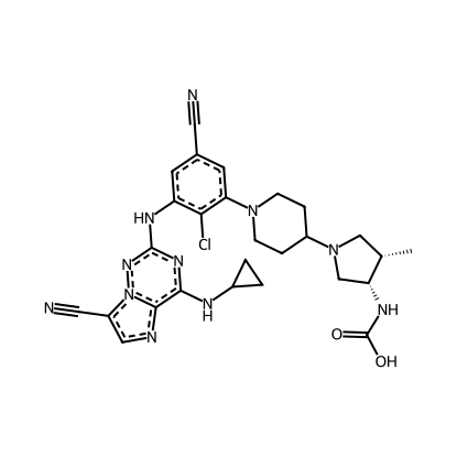 C[C@H]1CN(C2CCN(c3cc(C#N)cc(Nc4nc(NC5CC5)c5ncc(C#N)n5n4)c3Cl)CC2)C[C@H]1NC(=O)O